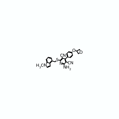 Cn1ccc2c(CSc3nc(N)c(C#N)c(-c4ccc(OC5COC5)cc4)c3C#N)cccc21